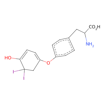 NC(Cc1ccc(OC2=CC=C(O)C(I)(I)C2)cc1)C(=O)O